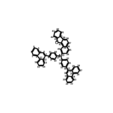 c1ccc2c(c1)cc(-c1ccc(N(c3ccc(-c4cc5ccccc5c5ccccc45)cc3)c3ccc4ccc5c6ccccc6oc5c4c3)cc1)c1ccccc12